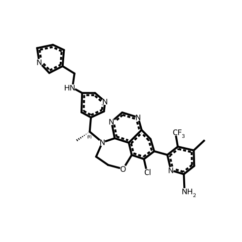 Cc1cc(N)nc(-c2cc3ncnc4c3c(c2Cl)OCCN4[C@H](C)c2cncc(NCc3cccnc3)c2)c1C(F)(F)F